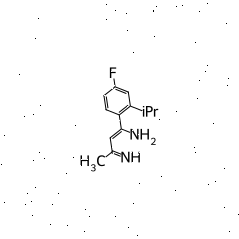 CC(=N)/C=C(\N)c1ccc(F)cc1C(C)C